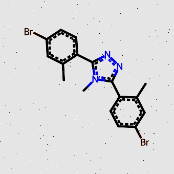 Cc1cc(Br)ccc1-c1nnc(-c2ccc(Br)cc2C)n1C